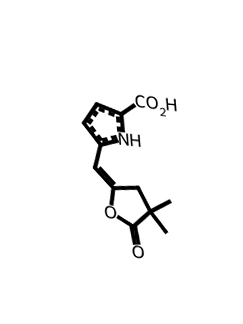 CC1(C)CC(=Cc2ccc(C(=O)O)[nH]2)OC1=O